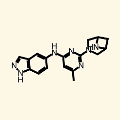 Cc1cc(Nc2ccc3[nH]ncc3c2)nc(N2CC3CC(C2)N3)n1